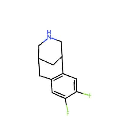 Fc1cc2c(cc1F)C1CNCC(C2)C1